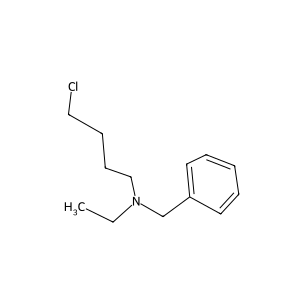 CCN(CCCCCl)Cc1ccccc1